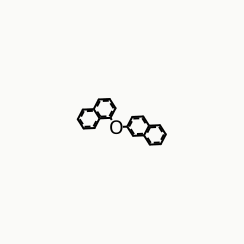 c1ccc2cc(Oc3cccc4ccccc34)ccc2c1